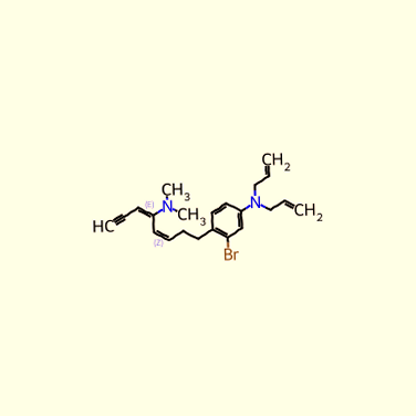 C#C/C=C(\C=C/CCc1ccc(N(CC=C)CC=C)cc1Br)N(C)C